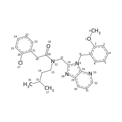 COc1ccccc1Cn1c(CN(CCC(C)C)C(=O)Cc2ccccc2Cl)nc2cccnc21